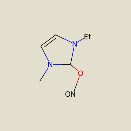 CCN1C=CN(C)C1ON=O